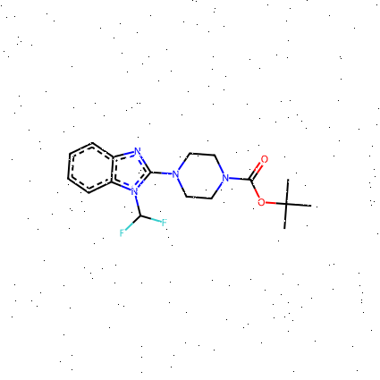 CC(C)(C)OC(=O)N1CCN(c2nc3ccccc3n2C(F)F)CC1